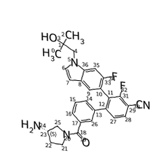 CC(C)(O)Cn1ccc2cc(-c3c(-c4cccc(C(=O)N5CC[C@H](N)C5)c4)ccc(C#N)c3F)c(F)cc21